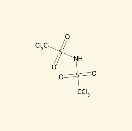 O=S(=O)(NS(=O)(=O)C(Cl)(Cl)Cl)C(Cl)(Cl)Cl